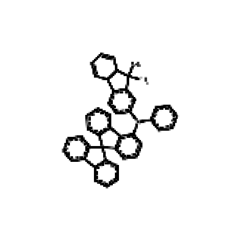 CC1(C)c2cc(N(c3ccccc3)c3cccc4c3-c3ccccc3C43c4ccccc4-c4ccccc43)ccc2C2C=CC=CC21